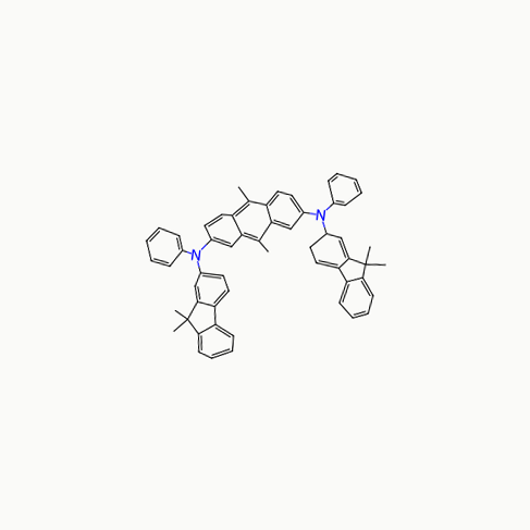 Cc1c2ccc(N(c3ccccc3)c3ccc4c(c3)C(C)(C)c3ccccc3-4)cc2c(C)c2cc(N(c3ccccc3)C3C=C4C(=CC3)c3ccccc3C4(C)C)ccc12